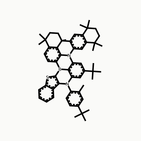 Cc1cc(C(C)(C)C)ccc1N1c2cc(C(C)(C)C)cc3c2B(c2ccc4c5c2N3c2cc3c(cc2C5(C)CCC4(C)C)C(C)(C)CCC3(C)C)c2sc3ccccc3c21